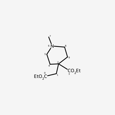 CCOC(=O)CC1(C(=O)OCC)CCN(C)CC1